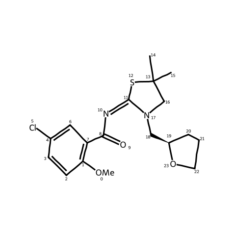 COc1ccc(Cl)cc1C(=O)N=C1SC(C)(C)CN1C[C@H]1CCCO1